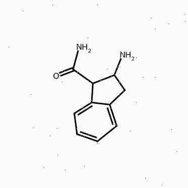 NC(=O)C1c2cc[c]cc2CC1N